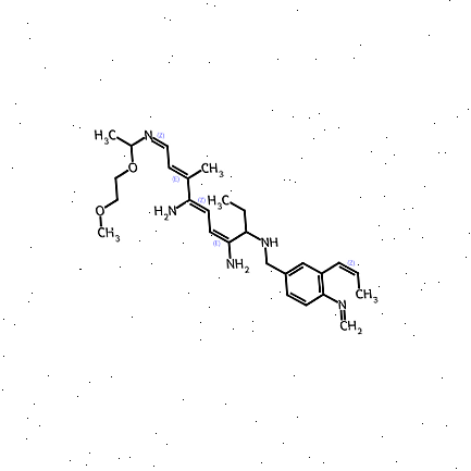 C=Nc1ccc(CNC(CC)\C(N)=C/C=C(N)/C(C)=C/C=N\C(C)OCCOC)cc1/C=C\C